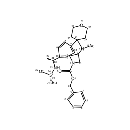 CC(=O)N(C1CN(C(=O)OCc2ccccc2)C1)C1(c2ccc([C@H](C)N[S@@+]([O-])C(C)(C)C)cc2)CCOCC1